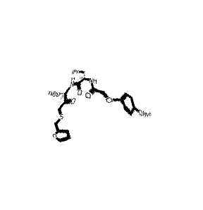 CCCC[C@H](NC(=O)[C@H](CC(C)C)NC(=O)COc1ccc(OC)cc1)C(=O)CSCc1ccco1